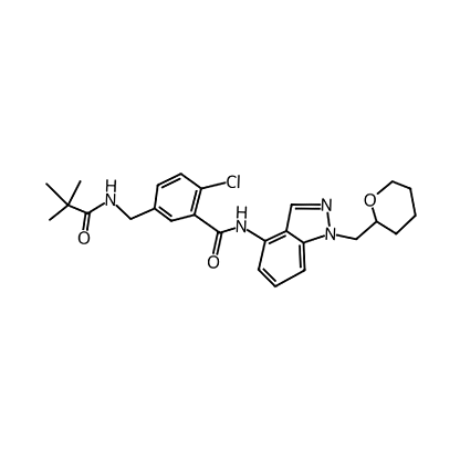 CC(C)(C)C(=O)NCc1ccc(Cl)c(C(=O)Nc2cccc3c2cnn3CC2CCCCO2)c1